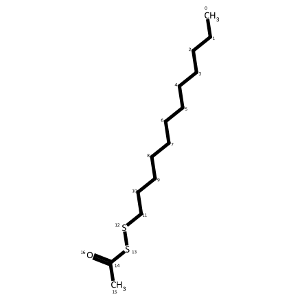 CCCCCCCCCCCCSSC(C)=O